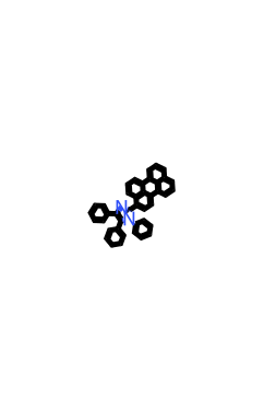 C1=CC(c2c(-c3ccccc3)nc(-c3ccc4c5cccc6cccc(c7cccc3c74)c65)n2-c2ccccc2)=CCC1